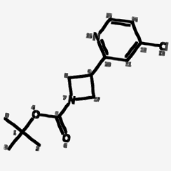 CC(C)(C)OC(=O)N1CC(c2cc(Cl)ccn2)C1